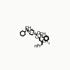 CCC/C=C(C)\C=C(\OC(=O)N1CCN(N(C)C2CCCCC2)CC1)N(C)c1ccccc1